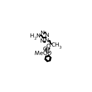 COP(=O)(COC(C)CN1C=NC2C1=NC=NC2N)Oc1ccccc1